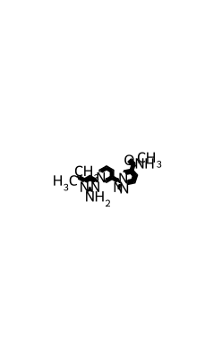 CNC(=O)c1ccc2nnc(C3CCCN(c4cc(C(C)C)nc(N)n4)C3)n2c1